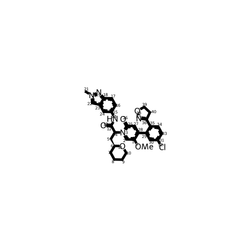 COc1cn(C(C[C@@H]2CCCCO2)C(=O)Nc2ccc3nn(C)cc3c2)c(=O)cc1-c1cc(Cl)ccc1C1=NOCC1